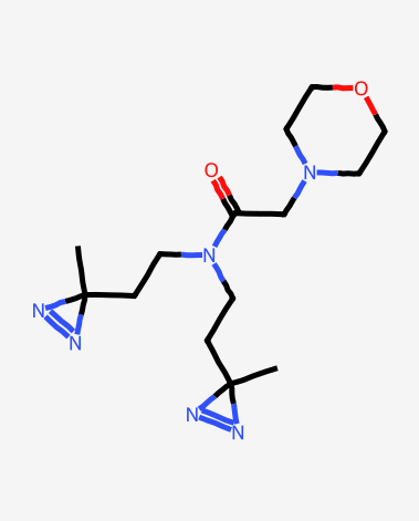 CC1(CCN(CCC2(C)N=N2)C(=O)CN2CCOCC2)N=N1